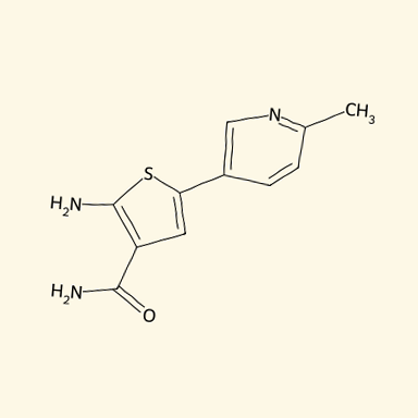 Cc1ccc(-c2cc(C(N)=O)c(N)s2)cn1